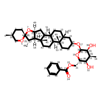 C[C@H]1CC[C@@]2(OC1)O[C@H]1C[C@H]3[C@@H]4CC[C@@H]5C[C@@H](O[C@@H]6O[C@@H](COC(=O)c7ccccc7)[C@H](O)[C@H](C)[C@@H]6O)CC[C@]5(C)[C@H]4CC[C@]3(C)[C@H]1[C@@H]2C